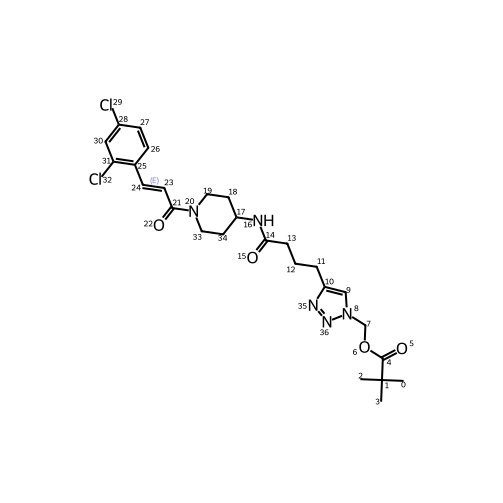 CC(C)(C)C(=O)OCn1cc(CCCC(=O)NC2CCN(C(=O)/C=C/c3ccc(Cl)cc3Cl)CC2)nn1